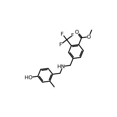 COC(=O)c1ccc(CNCc2ccc(O)cc2C)cc1C(F)(F)F